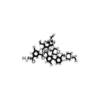 CCc1nc2c(cnn2CC)c(NC2CCOCC2)c1CN(Cc1ccc(C)c(-c2cccc(CN3CCN(CC)CC3)c2)c1)C(=O)c1cc(C)cc(C(N)=O)c1